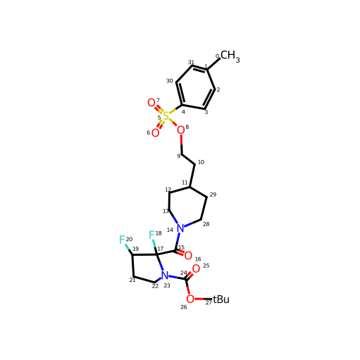 Cc1ccc(S(=O)(=O)OCCC2CCN(C(=O)C3(F)C(F)CCN3C(=O)OC(C)(C)C)CC2)cc1